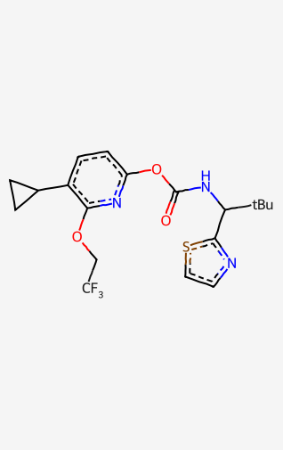 CC(C)(C)C(NC(=O)Oc1ccc(C2CC2)c(OCC(F)(F)F)n1)c1nccs1